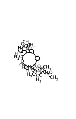 C=CC(=O)N1CC2(C1)C(=O)N([C@H](C(=O)N[C@H]1Cc3cccc(c3)-c3ccc4c(c3)c(c(-c3cccnc3[C@H](C)OC)n4CC)CC(C)(C)COC(=O)[C@@H]3CCCN(N3)C1=O)C(C)C)C(=O)N2C